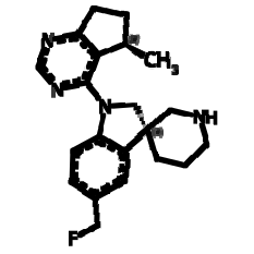 C[C@@H]1CCc2ncnc(N3C[C@]4(CCCNC4)c4cc(CF)ccc43)c21